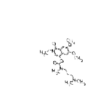 CCn1cc(OC(=O)N(C)CCCN(C)C)c2cc(OC)c(OC)cc2c1=O